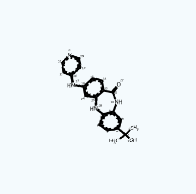 CC(C)(O)c1ccc2c(c1)NC(=O)c1ccc(Nc3ccncc3)cc1N2